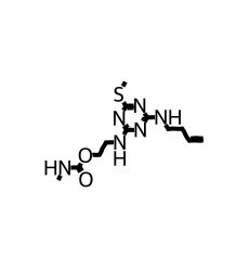 C=CCCNc1nc(NCCOC(=O)NC)nc(SC)n1